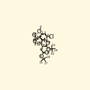 COc1cc(Cl)nc(NC(CC(=O)OC(C)(C)C)C(=O)OC(C)(C)C)c1[N+](=O)[O-]